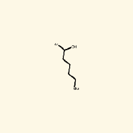 CC(=O)C(O)CCCCC(C)(C)C